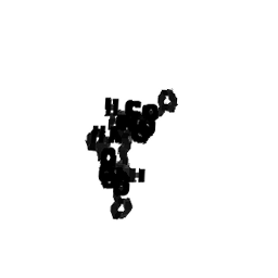 C[C@@H](NC(=O)[C@@H](N)CCC[C@@H](NC(=O)OCc1ccccc1)C(=O)OCc1ccccc1)C(=O)OCc1ccccc1